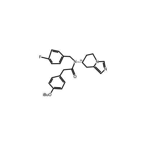 CC(C)COc1ccc(CC(=O)N(Cc2ccc(F)cc2)[C@@H]2CCn3cncc3C2)cc1